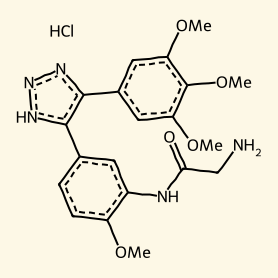 COc1ccc(-c2[nH]nnc2-c2cc(OC)c(OC)c(OC)c2)cc1NC(=O)CN.Cl